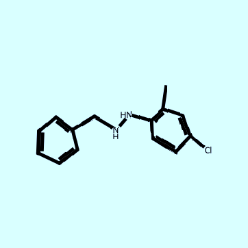 Cc1cc(Cl)ccc1NNCc1ccccc1